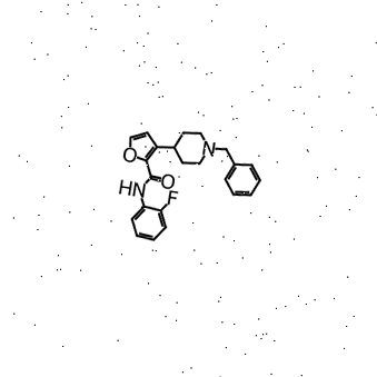 O=C(Nc1ccccc1F)c1occc1C1CCN(Cc2ccccc2)CC1